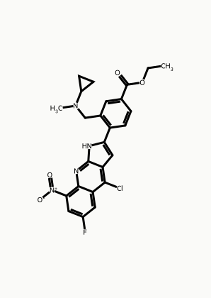 CCOC(=O)c1ccc(-c2cc3c(Cl)c4cc(F)cc([N+](=O)[O-])c4nc3[nH]2)c(CN(C)C2CC2)c1